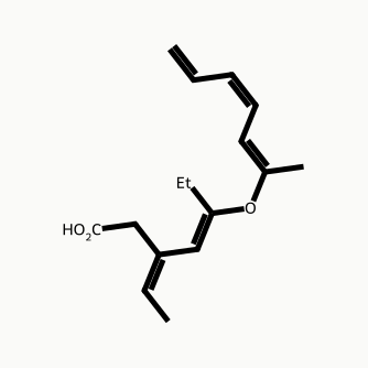 C=C/C=C\C=C(/C)O/C(=C/C(=C\C)CC(=O)O)CC